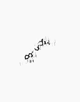 CNc1cccc2cc(C(=O)Nc3cnc(N4CCC(NC(=O)OC(C)(C)C)(C(=O)O)CC4)nc3)c(=O)[nH]c12